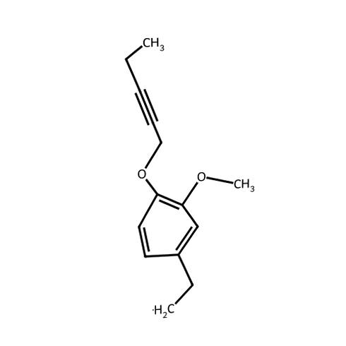 [CH2]Cc1ccc(OCC#CCC)c(OC)c1